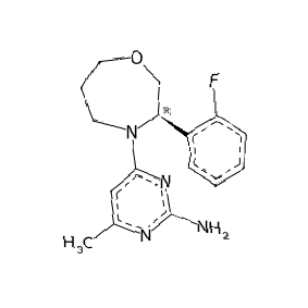 Cc1cc(N2CCCOC[C@H]2c2ccccc2F)nc(N)n1